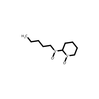 CCCCC[S+]([O-])C1CCCC[S+]1[O-]